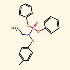 Cc1ccc(SN(CC(=O)O)P(=O)(Oc2ccccc2)Oc2ccccc2)cc1